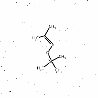 CC(C)=NO[Si](C)(C)C